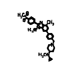 Cc1cc(-c2ccc(CN3CCC(N(C)C4CC4)CC3)cc2)cc2c1nc(-c1ccc(S(C)(=O)=O)cc1)n2C